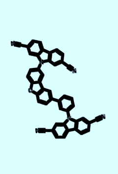 N#Cc1ccc2c3ccc(C#N)cc3n(-c3cccc(-c4ccc5oc6ccc(-n7c8cc(C#N)ccc8c8ccc(C#N)cc87)cc6c5c4)c3)c2c1